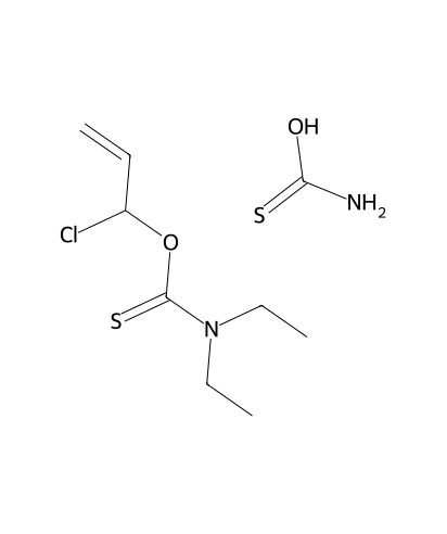 C=CC(Cl)OC(=S)N(CC)CC.NC(O)=S